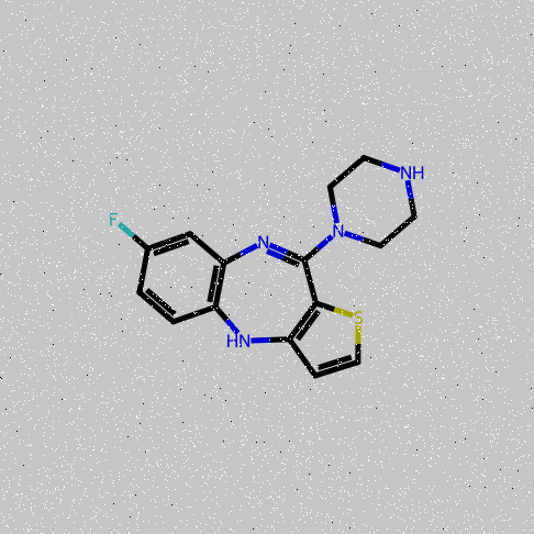 Fc1ccc2c(c1)N=C(N1CCNCC1)c1sccc1N2